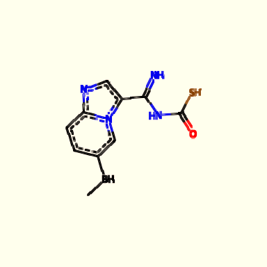 CBc1ccc2ncc(C(=N)NC(=O)S)n2c1